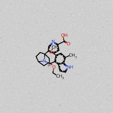 CCO[C@H]1CC2CCC(c3ccc(C(=O)O)nc3)(C1)N2Cc1c(OC)cc(C)c2[nH]ccc12